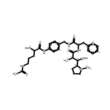 CNC(CCCNC(N)=O)C(=O)Nc1ccc(CNC(=O)C(Cc2ccccn2)NC(=O)C(C)C(OC)C2CCCN2C)cc1